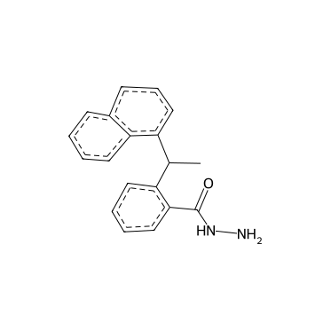 CC(c1ccccc1C(=O)NN)c1cccc2ccccc12